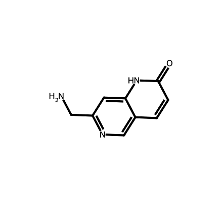 NCc1cc2[nH]c(=O)ccc2cn1